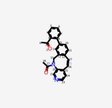 CC(=O)c1ccccc1-c1ccc2c(c1)CN(C(C)=O)c1cnccc1/C=C\2